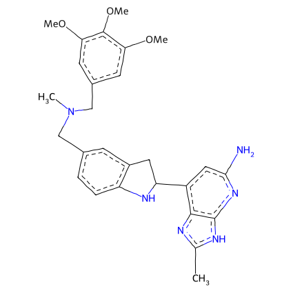 COc1cc(CN(C)Cc2ccc3c(c2)CC(c2cc(N)nc4[nH]c(C)nc24)N3)cc(OC)c1OC